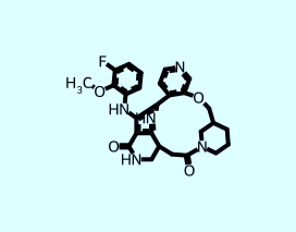 COc1c(F)cccc1Nc1c2[nH]c3c1C(=O)NCC3CC(=O)N1CCCC(COc3cnccc3-2)C1